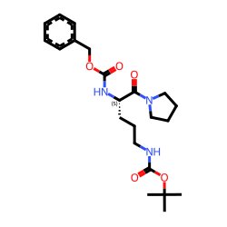 CC(C)(C)OC(=O)NCCC[C@H](NC(=O)OCc1ccccc1)C(=O)N1CCCC1